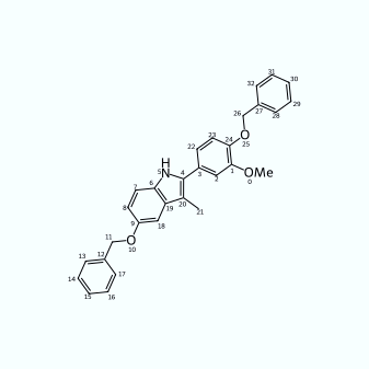 COc1cc(-c2[nH]c3ccc(OCc4ccccc4)cc3c2C)ccc1OCc1ccccc1